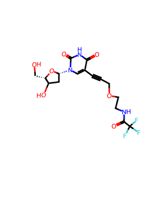 O=C(NCCOCC#Cc1cn([C@@H]2CC(O)[C@H](CO)O2)c(=O)[nH]c1=O)C(F)(F)F